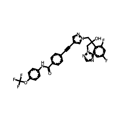 O=C(Nc1ccc(OC(F)(F)F)cc1)c1ccc(C#Cc2cnn(CC(O)(Cn3cncn3)c3ccc(F)cc3F)c2)cc1